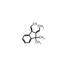 C/C=C1\C(=C/C)c2ccccc2C1(C)C